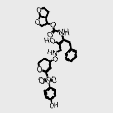 O=C(NC(Cc1ccccc1)C(O)CNOC1CCOC(S(=O)(=O)c2ccc(O)cc2)C1)OC1COC2OCCC12